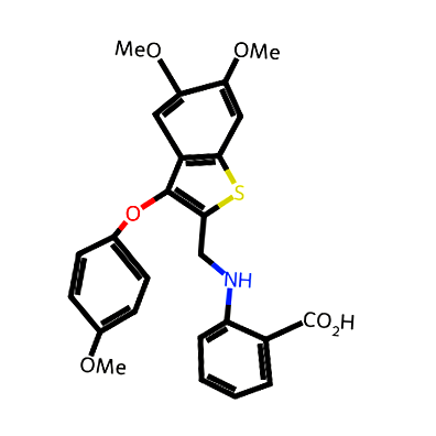 COc1ccc(Oc2c(CNc3ccccc3C(=O)O)sc3cc(OC)c(OC)cc23)cc1